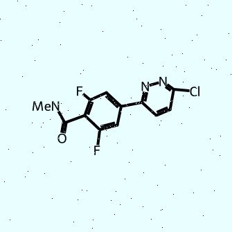 CNC(=O)c1c(F)cc(-c2ccc(Cl)nn2)cc1F